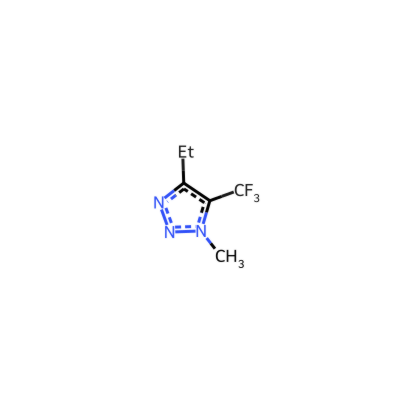 CCc1nnn(C)c1C(F)(F)F